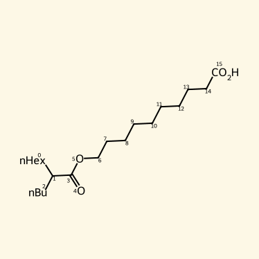 CCCCCCC(CCCC)C(=O)OCCCCCCCCCC(=O)O